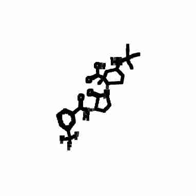 CC(C)(C)N[C@H]1CC[C@H](N2CC[C@H](NC(=O)c3cccc(C(F)(F)F)c3)C2=O)[C@](C)(C(=O)O)C1